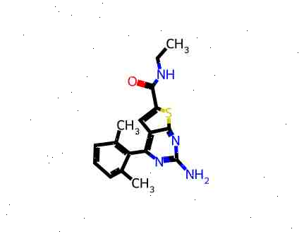 CCNC(=O)c1cc2c(-c3c(C)cccc3C)nc(N)nc2s1